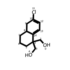 OCC1(CO)CCCC2CC(Cl)=CC=C21